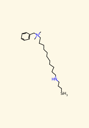 C[N+](C)(CCCCCCCCCCCNCCC[SiH3])Cc1ccccc1